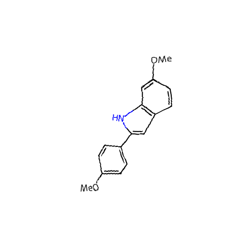 COc1ccc(-c2cc3ccc(OC)cc3[nH]2)cc1